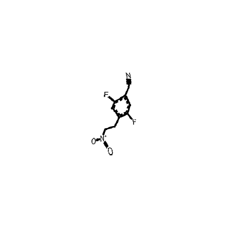 N#Cc1cc(F)c(CC[N+](=O)[O-])cc1F